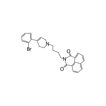 O=C1c2cccc3cccc(c23)C(=O)N1CCCCN1CC=C(c2ccccc2Br)CC1